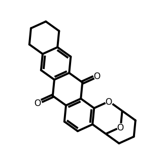 O=C1c2cc3c(cc2C(=O)c2c1ccc1c2OC2CCCC1O2)CCCC3